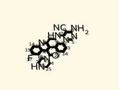 N#Cc1c(N)ncnc1NCCc1nc2ccc(F)cc2c(C(=O)N2CCNCC2)c1-c1ccccc1